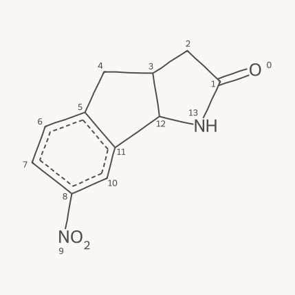 O=C1CC2Cc3ccc([N+](=O)[O-])cc3C2N1